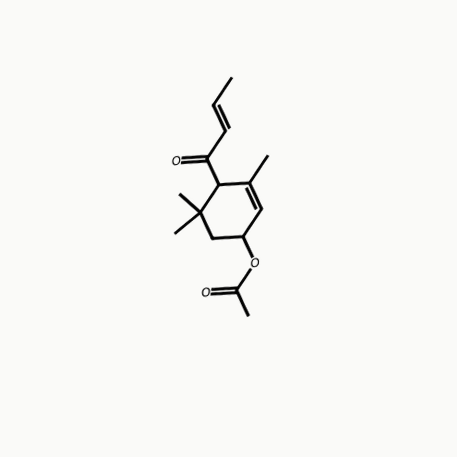 CC=CC(=O)C1C(C)=CC(OC(C)=O)CC1(C)C